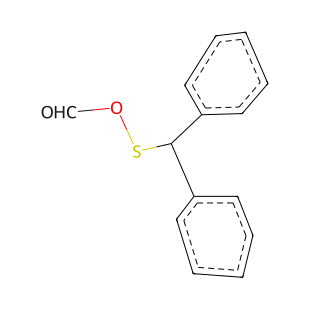 O=COSC(c1ccccc1)c1ccccc1